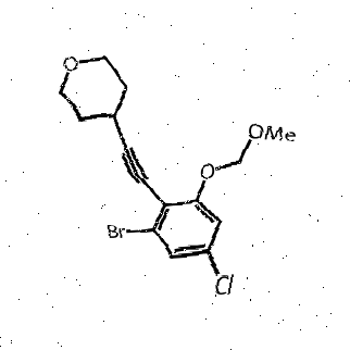 COCOc1cc(Cl)cc(Br)c1C#CC1CCOCC1